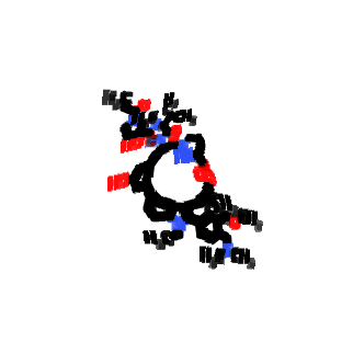 C=CC(=O)N1CCC(O)(C(=O)N(C)[C@H](C(=O)N[C@H]2Cc3cc(O)cc(c3)-c3ccc4c(c3)c(c(-c3ccc(CN(C)C)c(COC)c3)n4CC)CC(C)(C)COC[C@@]3(C=O)CCCN(N3)C2=O)C(C)C)C1